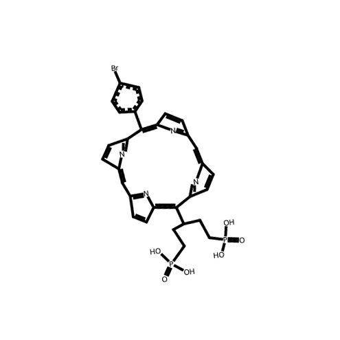 O=P(O)(O)CCC(CCP(=O)(O)O)C1=C2C=CC(=N2)C=C2C=CC(=N2)C(c2ccc(Br)cc2)=C2C=CC(=N2)C=C2C=CC1=N2